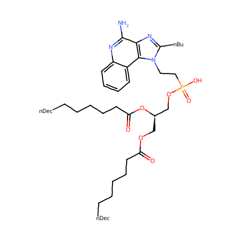 CCCCCCCCCCCCCCCC(=O)OC[C@H](COP(=O)(O)CCn1c(CCCC)nc2c(N)nc3ccccc3c21)OC(=O)CCCCCCCCCCCCCCC